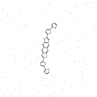 c1csc(-c2ccc(-c3cc4cc5cc6sc(-c7ccc(-c8cccs8)s7)cc6cc5cc4s3)s2)c1